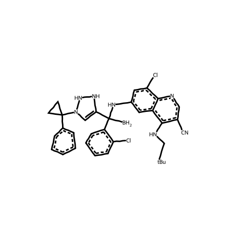 BC(Nc1cc(Cl)c2ncc(C#N)c(NCC(C)(C)C)c2c1)(C1=CN(C2(c3ccccc3)CC2)NN1)c1ccccc1Cl